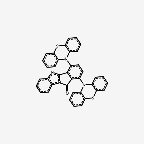 O=C1c2c(N3c4ccccc4Sc4ccccc43)ccc(N3c4ccccc4Sc4ccccc43)c2-c2nc3ccccc3n21